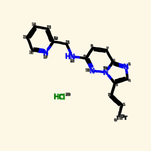 CCCC=Cc1cnc2ccc(NCc3ccccn3)nn12.Cl